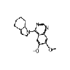 COc1cc2ncnc(N3CCC4CCCCC43)c2cc1OC